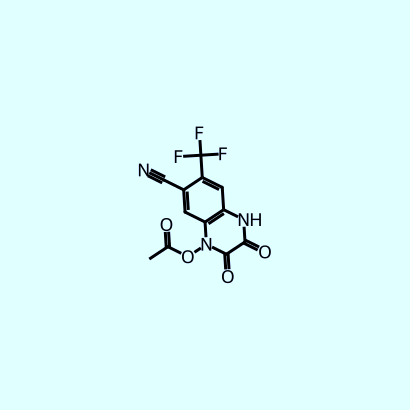 CC(=O)On1c(=O)c(=O)[nH]c2cc(C(F)(F)F)c(C#N)cc21